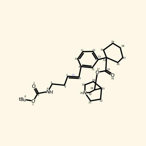 CC(C)(C)OC(=O)NCC/C=C/c1cccc(C2(C(=O)OC3CN4CCC3CC4)CCCCC2)c1